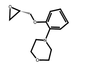 c1ccc(N2CCOCC2)c(OC[C@@H]2CO2)c1